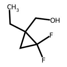 CCC1(CO)CC1(F)F